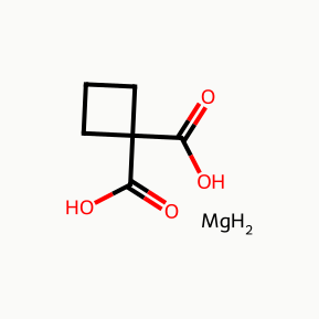 O=C(O)C1(C(=O)O)CCC1.[MgH2]